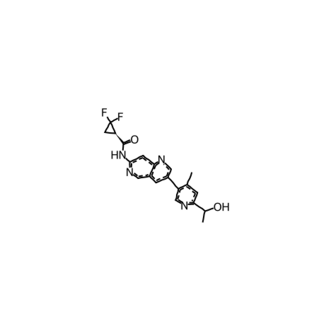 Cc1cc(C(C)O)ncc1-c1cnc2cc(NC(=O)[C@H]3CC3(F)F)ncc2c1